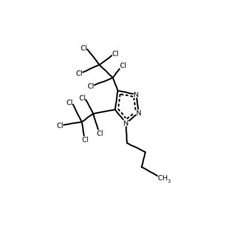 CCCCn1nnc(C(Cl)(Cl)C(Cl)(Cl)Cl)c1C(Cl)(Cl)C(Cl)(Cl)Cl